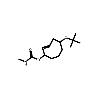 CNC(=O)OC1/C=C/CC(OC(C)(C)C)CCC1